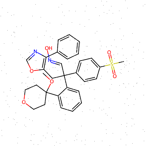 COC1(c2ccccc2C(C=NO)(Cc2ocnc2-c2ccccc2)c2ccc(S(C)(=O)=O)cc2)CCOCC1